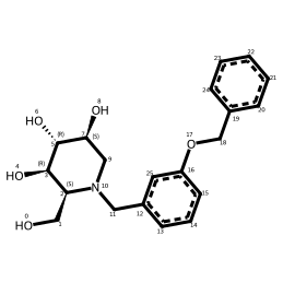 OC[C@H]1[C@@H](O)[C@H](O)[C@@H](O)CN1Cc1cccc(OCc2ccccc2)c1